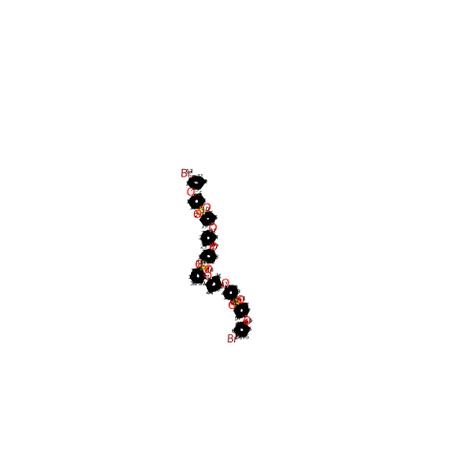 O=S(=O)(c1ccc(Oc2cccc(Br)c2)cc1)c1ccc(Oc2cccc(Oc3ccc(S(=O)(=O)c4ccccc4Oc4cccc(Oc5ccc(S(=O)(=O)c6ccc(Oc7ccc(Br)cc7)cc6)cc5)c4)cc3)c2)cc1